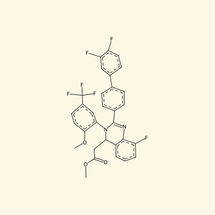 COC(=O)CC1c2cccc(F)c2N=C(c2ccc(-c3ccc(F)c(F)c3)cc2)N1c1cc(C(F)(F)F)ccc1OC